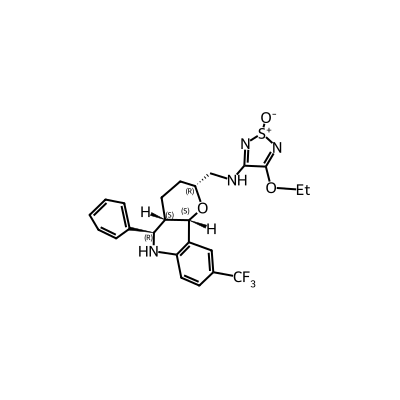 CCOc1n[s+]([O-])nc1NC[C@H]1CC[C@@H]2[C@H](O1)c1cc(C(F)(F)F)ccc1N[C@H]2c1ccccc1